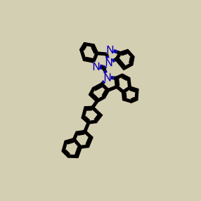 c1ccc2cc(-c3ccc(-c4ccc5c(c4)c4c6ccccc6ccc4n5-c4nc5ccccc5c5nc6ccccc6n45)cc3)ccc2c1